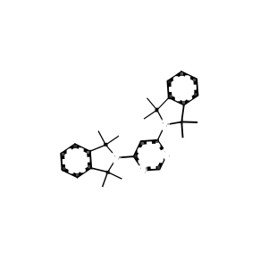 CC1(C)c2ccccc2C(C)(C)N1c1cc(N2C(C)(C)c3ccccc3C2(C)C)ncn1